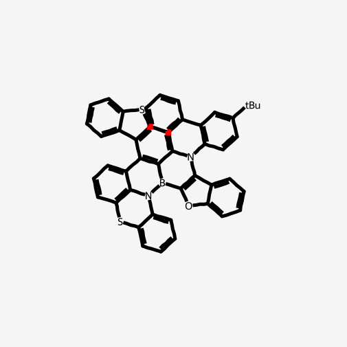 CC(C)(C)c1ccc(N2c3cc4sc5ccccc5c4c4c3B(c3oc5ccccc5c32)N2c3ccccc3Sc3cccc-4c32)c(-c2ccccc2)c1